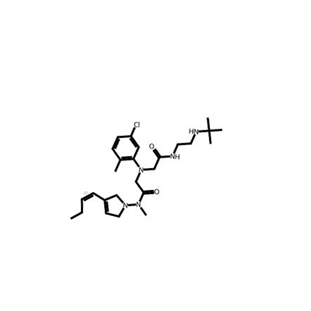 CC/C=C\C1=CCN(N(C)C(=O)CN(CC(=O)NCCNC(C)(C)C)c2cc(Cl)ccc2C)C1